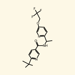 CC(NC(=O)c1ccc(C(C)(C)C)nc1)c1ccc(OCC(F)(F)F)cn1